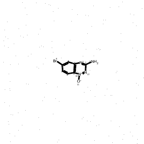 Nc1nc2cc(Br)ccc2[n+]([O-])n1